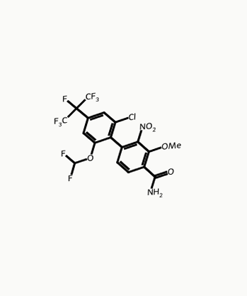 COc1c(C(N)=O)ccc(-c2c(Cl)cc(C(F)(C(F)(F)F)C(F)(F)F)cc2OC(F)F)c1[N+](=O)[O-]